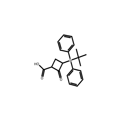 CC(C)(C)[Si](c1ccccc1)(c1ccccc1)C1CC(C(=O)O)C1=O